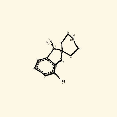 N[C@@H]1c2cccc(O)c2CC12CCNCC2